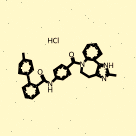 Cc1ccc(-c2ccccc2C(=O)Nc2ccc(C(=O)N3CCc4nc(C)[nH]c4-c4ccccc43)cc2)cc1.Cl